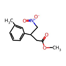 COC(=O)CC(C[N+](=O)[O-])c1cccc(C)c1